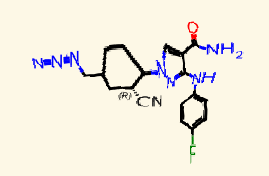 N#C[C@@H]1CC(CN=[N+]=[N-])CCC1n1cc(C(N)=O)c(Nc2ccc(F)cc2)n1